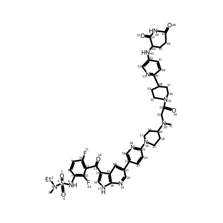 CCN(C)S(=O)(=O)Nc1ccc(F)c(C(=O)c2c[nH]c3ncc(-c4ccc(N5CCC(N(C)CC(=O)N6CCC(c7ccc(NC8CCC(=O)NC8=O)cn7)CC6)CC5)nc4)cc23)c1F